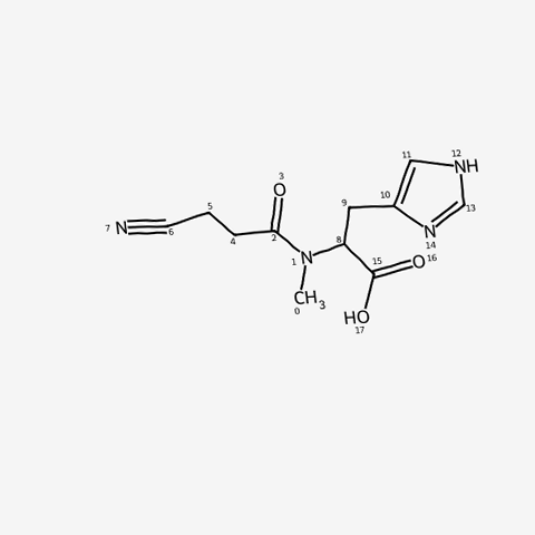 CN(C(=O)CCC#N)C(Cc1c[nH]cn1)C(=O)O